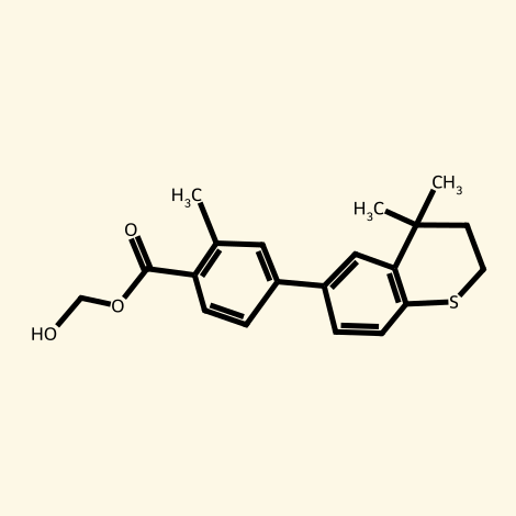 Cc1cc(-c2ccc3c(c2)C(C)(C)CCS3)ccc1C(=O)OCO